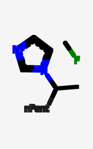 CCCCCC(C)n1ccnc1.CF